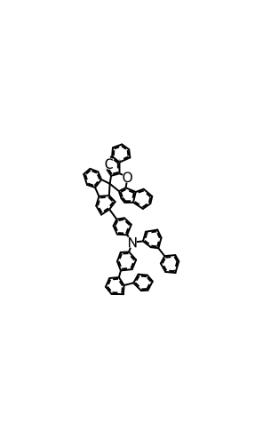 c1ccc(-c2cccc(N(c3ccc(-c4ccc5c(c4)C4(c6ccccc6-5)c5ccc6ccccc6c5Oc5c4ccc4ccccc54)cc3)c3ccc(-c4ccccc4-c4ccccc4)cc3)c2)cc1